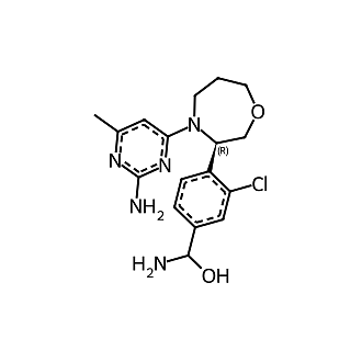 Cc1cc(N2CCCOC[C@H]2c2ccc(C(N)O)cc2Cl)nc(N)n1